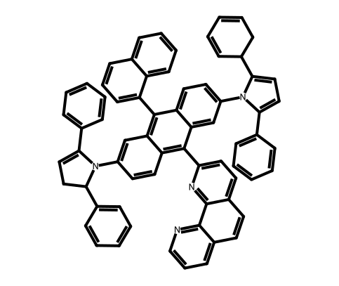 C1=CCC(c2ccc(-c3ccccc3)n2-c2ccc3c(-c4cccc5ccccc45)c4cc(N5C(c6ccccc6)=CCC5c5ccccc5)ccc4c(-c4ccc5ccc6cccnc6c5n4)c3c2)C=C1